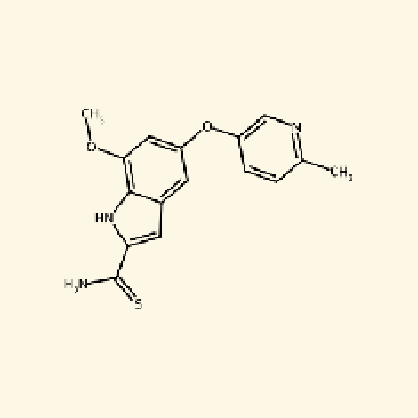 COc1cc(Oc2ccc(C)nc2)cc2cc(C(N)=S)[nH]c12